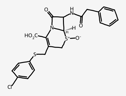 O=C(Cc1ccccc1)NC1C(=O)N2C(C(=O)O)=C(CSc3ccc(Cl)cc3)C[S+]([O-])[C@H]12